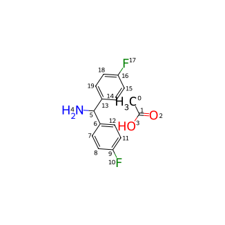 CC(=O)O.NC(c1ccc(F)cc1)c1ccc(F)cc1